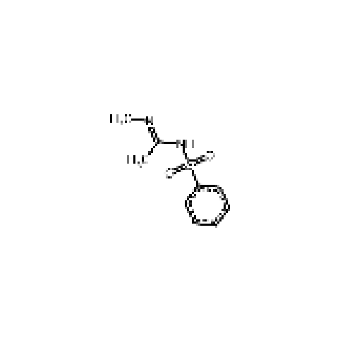 C/N=C(\C)NS(=O)(=O)c1ccccc1